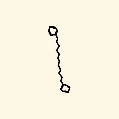 c1ccc(CCCCCCCCCCCCc2ccccc2)cc1